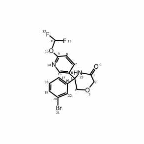 O=C1COCC(c2ccc(OC(F)F)nc2)(c2cccc(Br)c2)N1